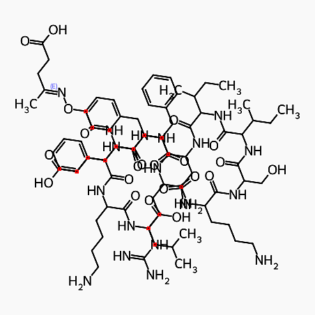 CCC(C)C(NC(=O)C(CO)NC(=O)C(CCCCN)NC(=O)C(CCCNC(=N)N)NC(=O)C(Cc1ccccc1)NC(=O)C(Cc1ccccc1)NC(=O)CO/N=C(\C)CCC(=O)O)C(=O)NC(C(=O)NC(CC(N)=O)C(=O)NC(Cc1ccccc1)C(=O)NC(CCC(=O)O)C(=O)NC(CCCCN)C(=O)NC(CC(C)C)C(=O)O)C(C)CC